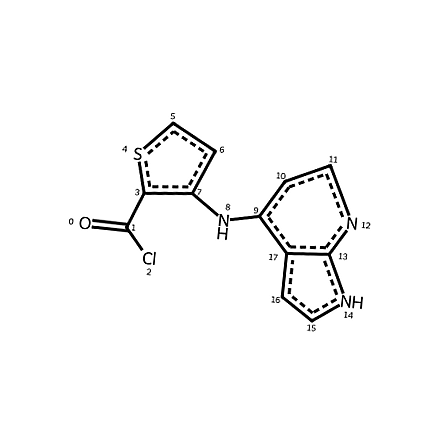 O=C(Cl)c1sccc1Nc1ccnc2[nH]ccc12